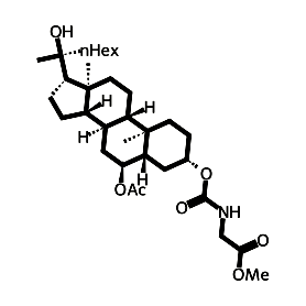 CCCCCC[C@](C)(O)[C@H]1CC[C@H]2[C@@H]3C[C@H](OC(C)=O)[C@H]4C[C@@H](OC(=O)NCC(=O)OC)CC[C@]4(C)[C@H]3CC[C@@]21C